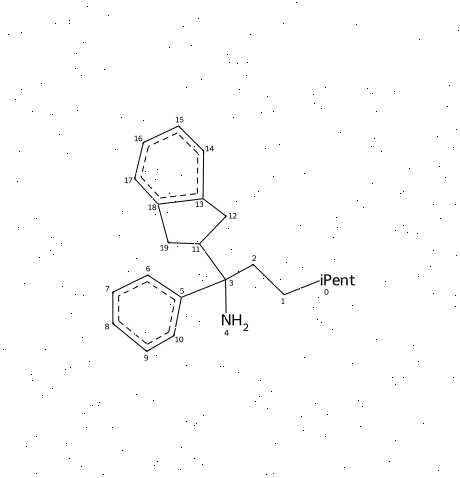 CCCC(C)CCC(N)(c1ccccc1)C1Cc2ccccc2C1